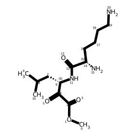 COC(=O)C(=O)[C@H](CC(C)C)NC(=O)[C@@H](N)CCCCN